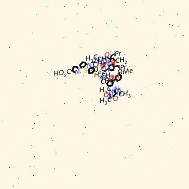 C=CCC1(CC(C)C)C(=O)NC(=O)NC1=O.CC(C)Cc1ccc(C(C)C(=O)O)cc1.CC(CN1c2ccccc2Sc2ccccc21)N(C)C.COc1cccc([C@@]2(O)CCCC[C@@H]2CN(C)C)c1.Cn1c(=O)c2c(ncn2C)n(C)c1=O.O=C(O)c1cccnc1